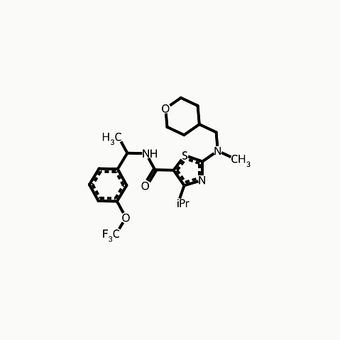 CC(C)c1nc(N(C)CC2CCOCC2)sc1C(=O)NC(C)c1cccc(OC(F)(F)F)c1